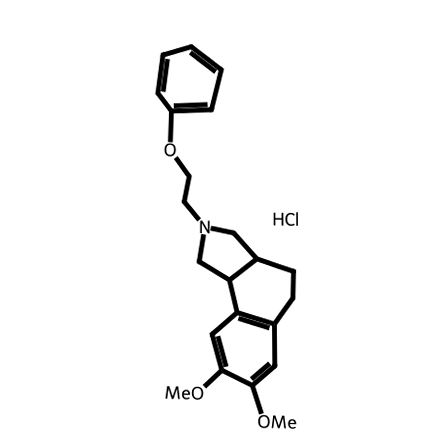 COc1cc2c(cc1OC)C1CN(CCOc3ccccc3)CC1CC2.Cl